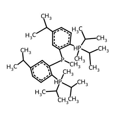 CC(C)c1ccc([PH](C)(C(C)C)C(C)C)c(P(C)c2cc(C(C)C)ccc2[PH](C)(C(C)C)C(C)C)c1